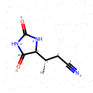 C[C@@H](CC#N)C1NC(=O)NC1=O